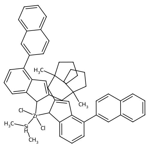 C[SiH](C)[Zr]([Cl])([Cl])([CH]1C(CC2(C)CCCC2)=Cc2c(-c3ccc4ccccc4c3)cccc21)[CH]1C(CC2(C)CCCC2)=Cc2c(-c3ccc4ccccc4c3)cccc21